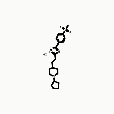 CS(=O)(=O)c1ccc(-c2nc(CCC3CCN(C4CCCC4)CC3)no2)cc1.Cl